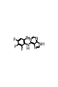 Fc1cc(Br)c(Nc2ncnc3[nH]cnc23)c(F)c1F